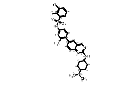 Cc1nc(NS(=O)(=O)c2cccc(Cl)c2Cl)ccc1-c1ccc2nc(NC3CCC(N(C)C)CC3)ncc2c1